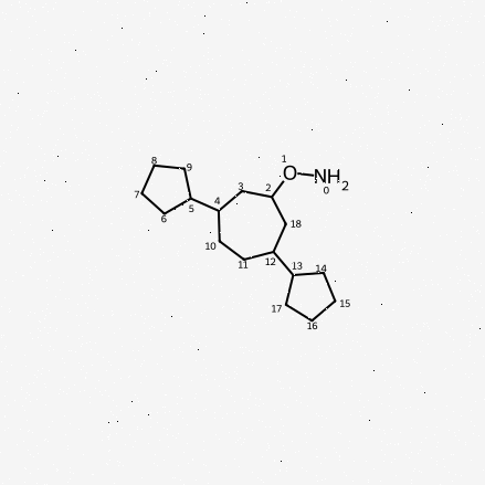 NOC1CC(C2CCCC2)CCC(C2CCCC2)C1